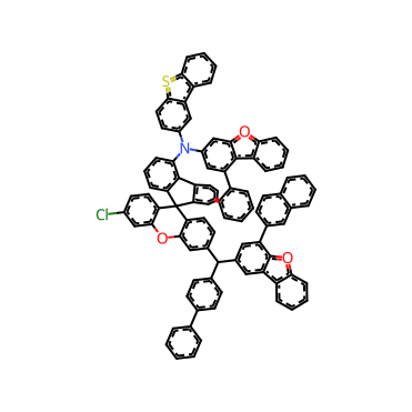 Clc1ccc2c(c1)Oc1cc(C(c3ccc(-c4ccccc4)cc3)c3cc(-c4ccc5ccccc5c4)c4oc5ccccc5c4c3)ccc1C21c2ccccc2-c2c(N(c3cc(-c4ccccc4)c4c(c3)oc3ccccc34)c3ccc4sc5ccccc5c4c3)cccc21